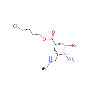 CC(C)NCc1cc(C(=O)OCCCCCl)cc(Br)c1N